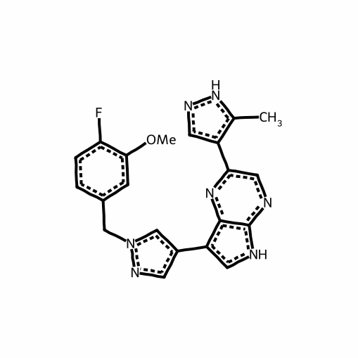 COc1cc(Cn2cc(-c3c[nH]c4ncc(-c5cn[nH]c5C)nc34)cn2)ccc1F